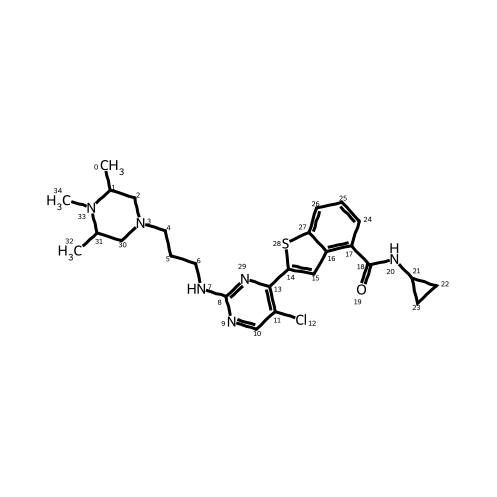 CC1CN(CCCNc2ncc(Cl)c(-c3cc4c(C(=O)NC5CC5)cccc4s3)n2)CC(C)N1C